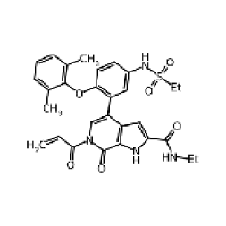 C=CC(=O)n1cc(-c2cc(NS(=O)(=O)CC)ccc2Oc2c(C)cccc2C)c2cc(C(=O)NCC)[nH]c2c1=O